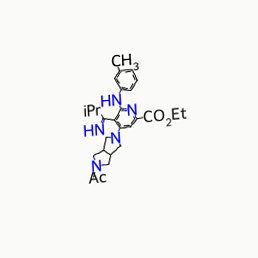 CCOC(=O)c1cc(N2CC3CN(C(C)=O)CC3C2)c(C(=N)C(C)C)c(Nc2cccc(C)c2)n1